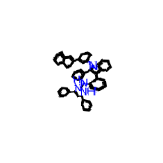 C1=C(c2ccccc2)NC(N2c3ccccc3-c3c(n(-c4cccc(-c5ccc6ccccc6c5)c4)c4ccccc34)-c3ccccc32)NC1c1ccccc1